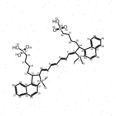 C[N+]1(C)C(=CC=CC=CC=CC2C(CCCCS(=O)(=O)O)c3c(ccc4ccccc34)[N+]2(C)C)C(CCCCS(=O)(=O)O)c2c1ccc1ccccc21